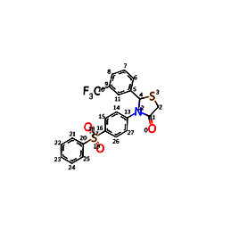 O=C1CSC(c2cccc(C(F)(F)F)c2)N1c1ccc(S(=O)(=O)c2ccccc2)cc1